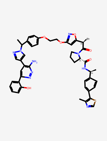 Cc1ncsc1-c1ccc([C@H](C)NC(=O)[C@@H]2CCCN2C(=O)[C@@H](c2cc(OCCOc3ccc(C(C)n4cc(-c5cc(-c6ccccc6O)nnc5N)cn4)cc3)no2)C(C)C)cc1